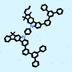 C=C/C=C\C1=C(C)C2Cc3c(n(-c4ccc(-n5c6ccc(-c7cccc(-c8cc(-c9ccccc9)cc(-c9ccccc9)c8)c7)cc6c6cc7c(cc65)C(C)(C)c5ccccc5-7)cc4)c4ccc(-c5cccc(-c6cc(-c7ccccc7)cc(-c7ccccc7)c6)c5)cc34)C=C2C1(C)C